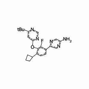 CC(C)(C)c1cc(Oc2c(C3CCC3)ccc(-c3cnc(N)cn3)c2F)ncn1